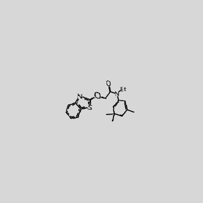 CCN(C(=O)COc1nc2ccccc2s1)C1=CC(C)(C)CC(C)=C1